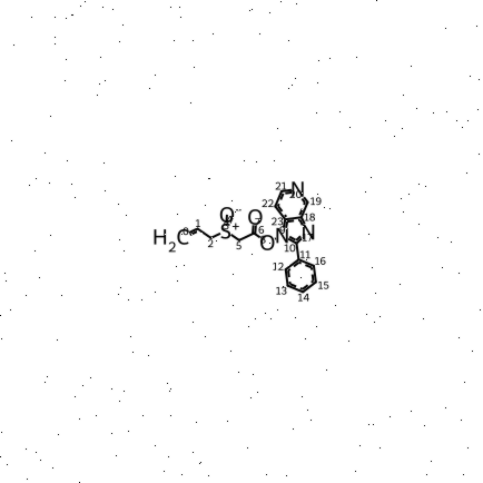 C=CC[S+]([O-])CC(=O)On1c(-c2ccccc2)nc2cnccc21